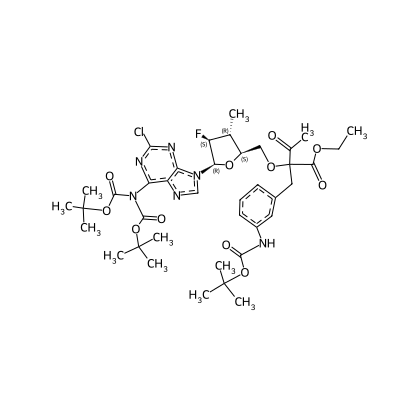 CCOC(=O)C(Cc1cccc(NC(=O)OC(C)(C)C)c1)(OC[C@H]1O[C@@H](n2cnc3c(N(C(=O)OC(C)(C)C)C(=O)OC(C)(C)C)nc(Cl)nc32)[C@@H](F)[C@@H]1C)C(C)=O